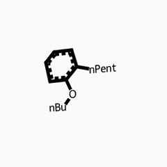 [CH2]CCCOc1ccccc1CCCCC